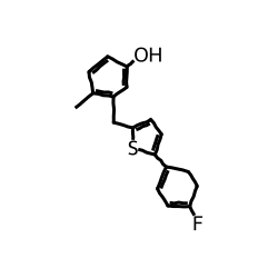 Cc1ccc(O)cc1Cc1ccc(C2=CC=C(F)CC2)s1